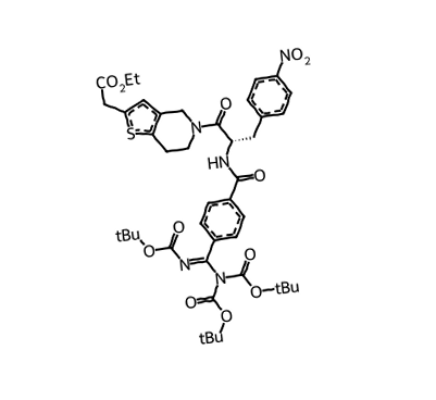 CCOC(=O)Cc1cc2c(s1)CCN(C(=O)[C@H](Cc1ccc([N+](=O)[O-])cc1)NC(=O)c1ccc(C(=NC(=O)OC(C)(C)C)N(C(=O)OC(C)(C)C)C(=O)OC(C)(C)C)cc1)C2